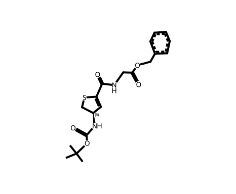 CC(C)(C)OC(=O)N[C@@H]1C=C(C(=O)NCC(=O)OCc2ccccc2)SC1